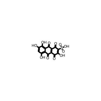 O=c1c(O)c(S(=O)(=O)O)c(=O)c2c(=O)c3c(O)c(O)cc(O)c3c(=O)c1=2